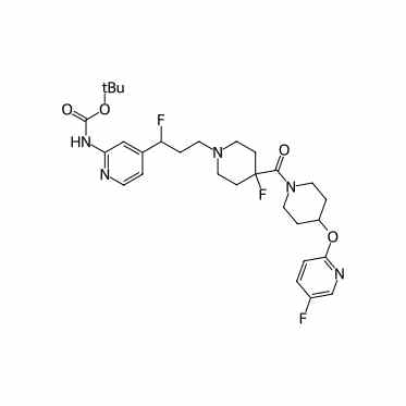 CC(C)(C)OC(=O)Nc1cc(C(F)CCN2CCC(F)(C(=O)N3CCC(Oc4ccc(F)cn4)CC3)CC2)ccn1